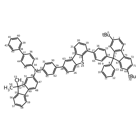 CC(C)(C)c1ccc2c(c1)C(c1ccccc1)(c1ccc(-c3cccc4c3sc3ccc(-c5ccc(N(c6ccc(-c7ccccc7)cc6)c6ccc7c(c6)C(C)(C)c6ccccc6-7)cc5)cc34)cc1)c1cc(C(C)(C)C)ccc1-2